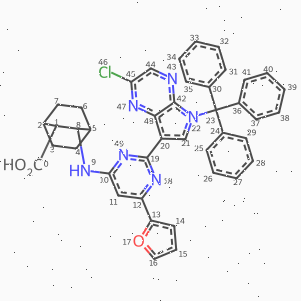 O=C(O)C1C2CCC(CC2)C1Nc1cc(-c2ccco2)nc(-c2cn(C(c3ccccc3)(c3ccccc3)c3ccccc3)c3ncc(Cl)nc23)n1